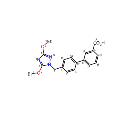 CCOc1nc(OCC)n(Cc2ccc(-c3cccc(C(=O)O)c3)cc2)n1